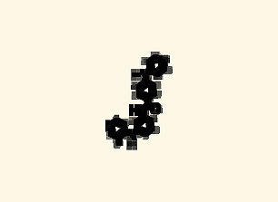 Cc1cnccc1Nc1cccc(NC(=O)c2ccc(Nc3ccncc3)cc2)c1